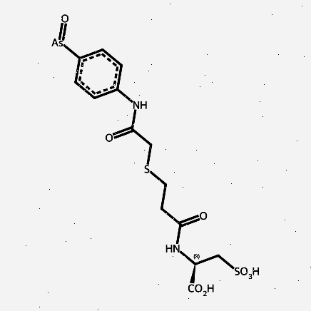 O=[As]c1ccc(NC(=O)CSCCC(=O)N[C@@H](CS(=O)(=O)O)C(=O)O)cc1